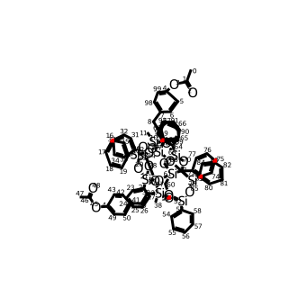 CC(=O)Oc1ccc(CC[Si]2(C)O[Si]3(c4ccccc4)O[Si]4(c5ccccc5)O[Si]5(c6ccccc6)O[Si](C)(CCc6ccc(OC(C)=O)cc6)O[Si]6(c7ccccc7)OC[Si]7(O[Si](c8ccccc8)(OC7(c7ccccc7)[Si](c7ccccc7)(O6)O[Si](c6ccccc6)(O3)O5)O2)O4)cc1